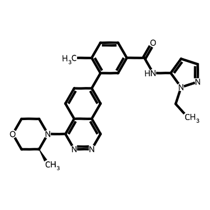 CCn1nccc1NC(=O)c1ccc(C)c(-c2ccc3c(N4CCOC[C@@H]4C)nncc3c2)c1